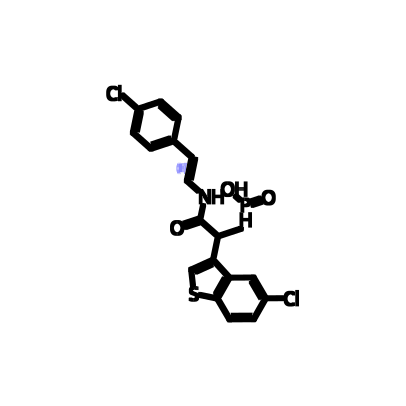 O=C(N/C=C/c1ccc(Cl)cc1)C(C[PH](=O)O)c1csc2ccc(Cl)cc12